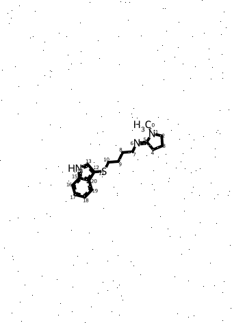 CN1CCC/C1=N\CCCCSc1c[nH]c2ccccc12